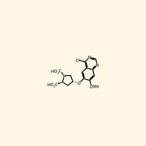 COc1cc2ncnc(Cl)c2cc1O[C@@H]1C[C@@H](C(=O)O)N(C(=O)O)C1